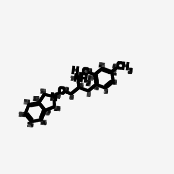 Cc1ccc(CC(N)CON2Cc3ccccc3C2)c(C)c1